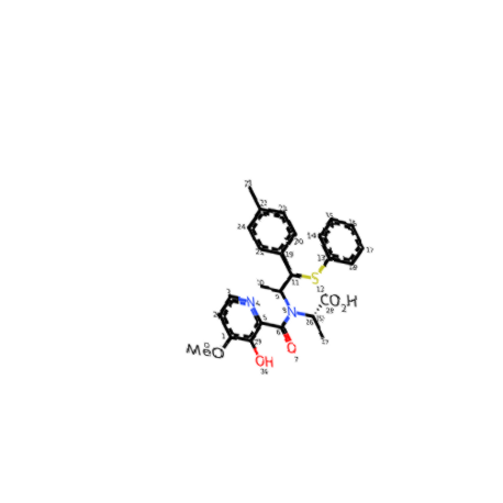 COc1ccnc(C(=O)N(C(C)C(Sc2ccccc2)c2ccc(C)cc2)[C@@H](C)C(=O)O)c1O